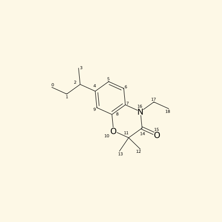 CCC(C)c1ccc2c(c1)OC(C)(C)C(=O)N2CC